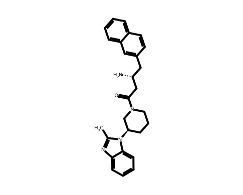 Cc1nc2ccccc2n1[C@@H]1CCCN(C(=O)C[C@H](N)Cc2ccc3ccccc3c2)C1